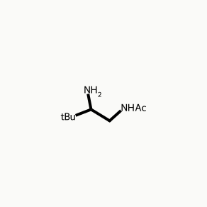 CC(=O)NCC(N)C(C)(C)C